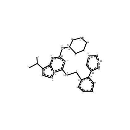 CC(C)c1cnn2c(NCc3ccccc3-c3cccnc3)nc(O[C@@H]3CCCNC3)nc12